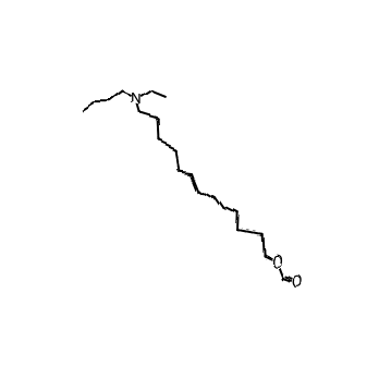 CCCCN(CC)CCCCCCCCCCCCCOC=O